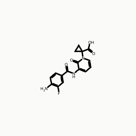 Nc1ccc(C(=O)Nc2cccn(C3(C(=O)O)CC3)c2=O)cc1F